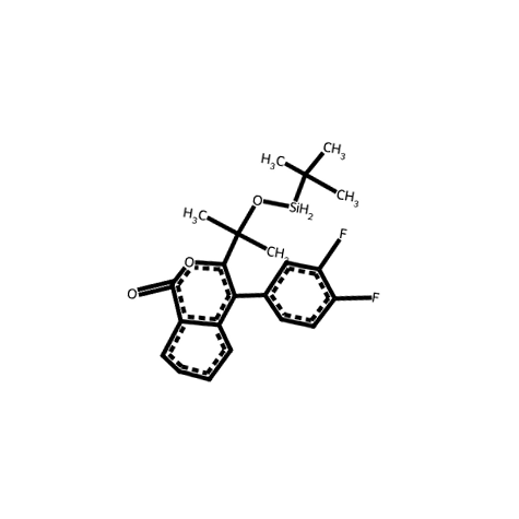 CC(C)(C)[SiH2]OC(C)(C)c1oc(=O)c2ccccc2c1-c1ccc(F)c(F)c1